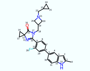 Cc1cc2cc(-c3ccc(C4=NC5(CC5)C(=O)N4CC4CN(CC5CC5)C4)c(F)c3)ccc2[nH]1